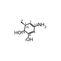 C[C@H]1C=C(N)C=C(O)C1O